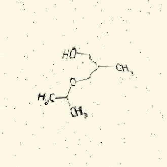 CC(CO)COC(C)C